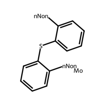 CCCCCCCCCc1ccccc1Sc1ccccc1CCCCCCCCC.[Mo]